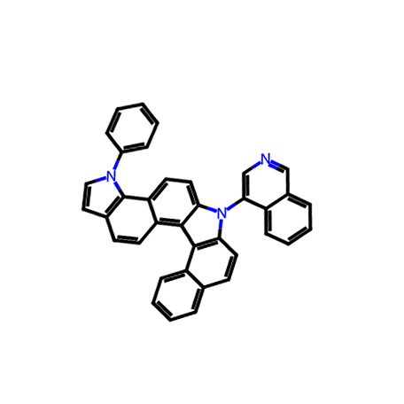 c1ccc(-n2ccc3ccc4c(ccc5c4c4c6ccccc6ccc4n5-c4cncc5ccccc45)c32)cc1